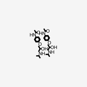 CC(=O)Nc1ccc(OCC(O)CNC(C)C)cc1.CC(=O)Nc1ccc(OCC(O)CNC(C)C)cc1